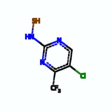 FC(F)(F)c1nc(NS)ncc1Cl